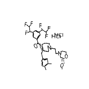 COC[C@@H]1CN(CCN2CCN(C(=O)c3cc(C(F)C(F)F)cc(C(F)C(F)F)c3)[C@H](Cc3ccc(C)c(C)c3)C2)CCO1.Cl.Cl